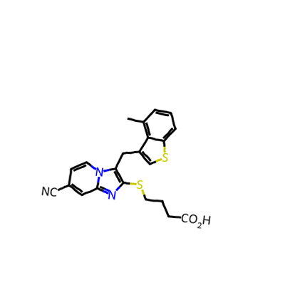 Cc1cccc2scc(Cc3c(SCCCC(=O)O)nc4cc(C#N)ccn34)c12